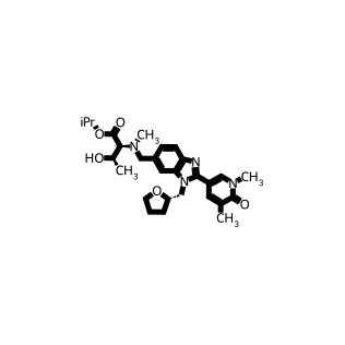 Cc1cc(-c2nc3ccc(CN(C)[C@H](C(=O)OC(C)C)[C@@H](C)O)cc3n2C[C@@H]2CCCO2)cn(C)c1=O